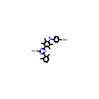 COc1ccc(N(C)c2c(C)c(C)c(-c3nc(OC)nc(-c4c(C)cccc4C)n3)c(C)c2C)cc1